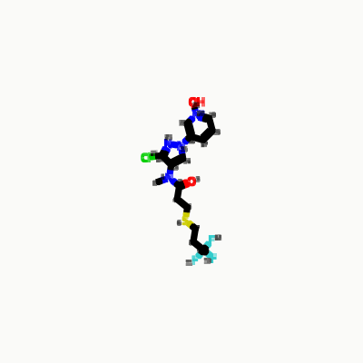 CN(C(=O)CCSCCC(F)(F)F)c1cn(-c2ccc[n+](O)c2)nc1Cl